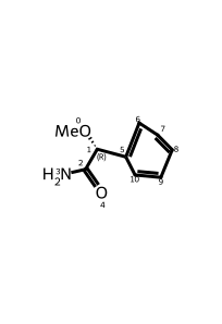 CO[C@@H](C(N)=O)c1ccccc1